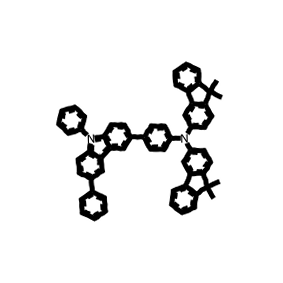 CC1(C)c2ccccc2-c2cc(N(c3ccc(-c4ccc5c(c4)c4cc(-c6ccccc6)ccc4n5-c4ccccc4)cc3)c3ccc4c(c3)-c3ccccc3C4(C)C)ccc21